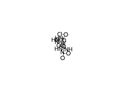 O=C(NC1N=C(c2ccccc2)c2ccccc2NC1=O)Oc1n[nH]c(NC(=O)c2ccccc2Cl)c1Br